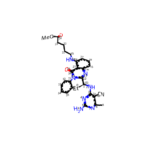 CC[C@H](Nc1nc(N)nc(C)c1C#N)c1nc2cccc(NCCCCC(=O)OC)c2c(=O)n1-c1ccccc1